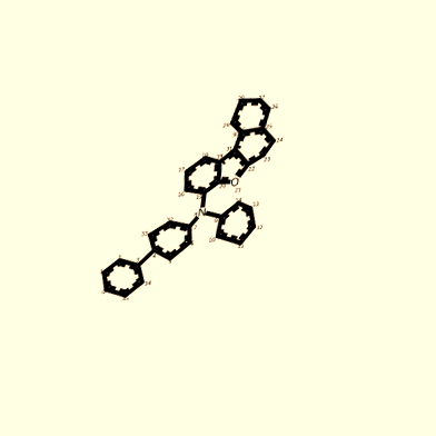 c1ccc(-c2ccc(N(c3ccccc3)c3cccc4c3oc3ccc5ccccc5c34)cc2)cc1